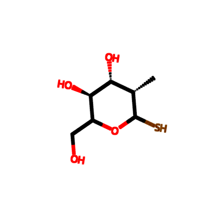 C[C@@H]1C(S)OC(CO)[C@@H](O)[C@@H]1O